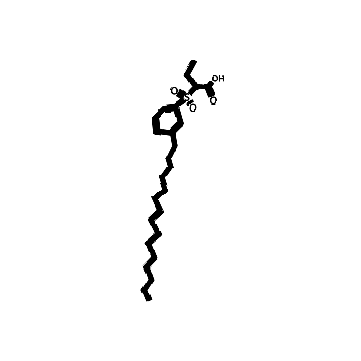 CCCCCCCCCCCCCCCc1cccc(S(=O)(=O)C(CC)C(=O)O)c1